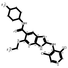 O=C(NC1CCC(C(F)(F)F)CC1)c1cc2nc(Nc3c(Cl)cncc3Cl)[nH]c2nc1OCC(F)(F)F